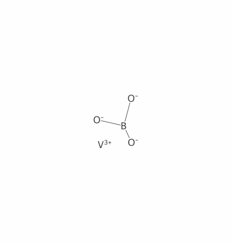 [O-]B([O-])[O-].[V+3]